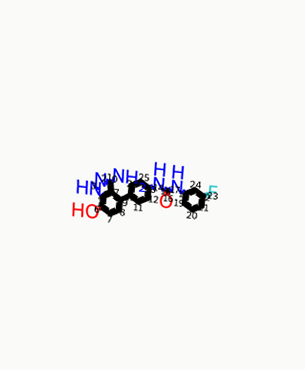 Nc1n[nH]c2c(O)ccc(-c3ccc(NC(=O)Nc4cccc(F)c4)cc3)c12